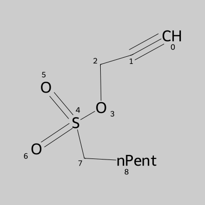 C#CCOS(=O)(=O)CCCCCC